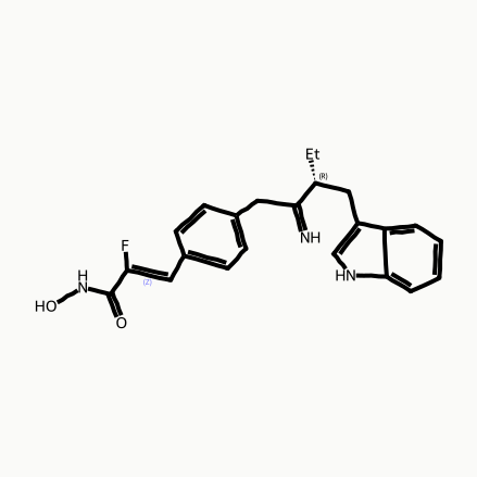 CC[C@H](Cc1c[nH]c2ccccc12)C(=N)Cc1ccc(/C=C(\F)C(=O)NO)cc1